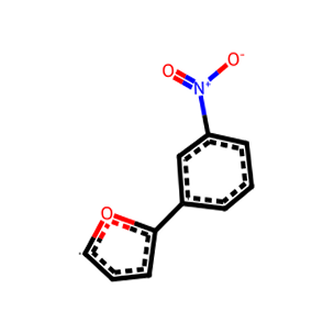 O=[N+]([O-])c1cccc(-c2cc[c]o2)c1